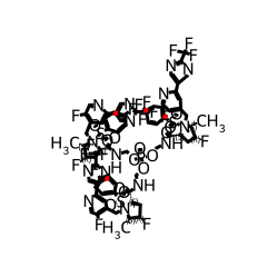 C[C@H]1[C@H](F)C[C@@H](C(=O)NCOP(=O)(OCNC(=O)[C@@H]2C[C@@H](F)[C@H](C)[N+]2(Cc2cc(-c3cnc(C(F)(F)F)nc3)ncc2F)S(=O)(=O)c2ccc(F)cc2)OCNC(=O)[C@@H]2C[C@@H](F)[C@H](C)[N+]2(Cc2cc(-c3cnc(C(F)(F)F)nc3)ncc2F)S(=O)(=O)c2ccc(F)cc2)[N+]1(Cc1cc(-c2cnc(C(F)(F)F)nc2)ncc1F)S(=O)(=O)c1ccc(F)cc1